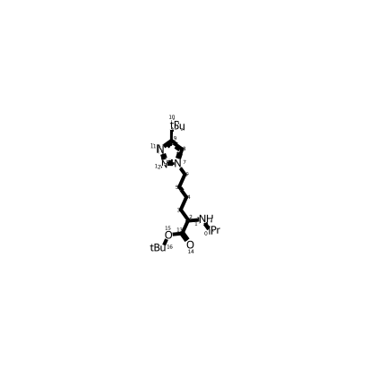 CC(C)NC(CCCCn1cc(C(C)(C)C)nn1)C(=O)OC(C)(C)C